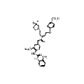 COc1cc(CC(=O)N(CCOc2ccc(C(=O)O)cc2)CCN2CCC(F)(F)C2)ccc1NC(=O)Nc1ccccc1C